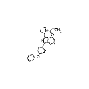 C=CC(=O)N1CCC[C@@H]1c1nc(-c2ccc(Oc3ccccc3)cc2)c2cnccn12